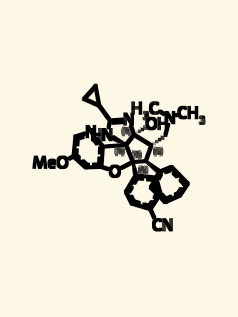 COc1cnc2c(c1)O[C@@]1(c3ccc(C#N)cc3)[C@H](c3ccccc3)[C@@H](CN(C)C)[C@]3(O)N=C(C4CC4)N[C@@]231